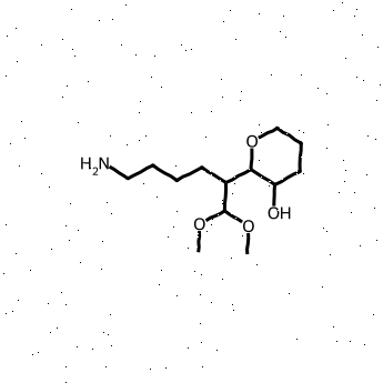 COC(OC)C(CCCCN)C1OCCCC1O